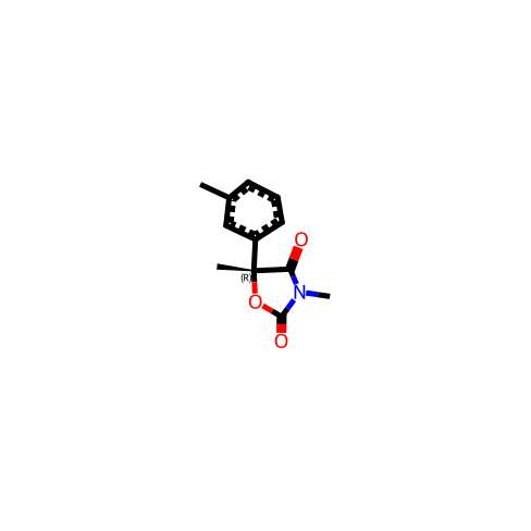 Cc1cccc([C@@]2(C)OC(=O)N(C)C2=O)c1